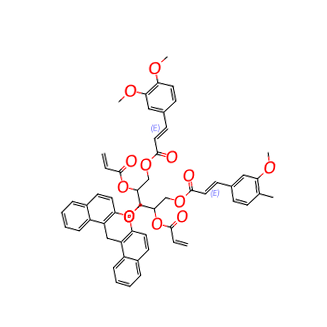 C=CC(=O)OC(COC(=O)/C=C/c1ccc(C)c(OC)c1)COc1ccc2ccccc2c1Cc1c(OCC(COC(=O)/C=C/c2ccc(OC)c(OC)c2)OC(=O)C=C)ccc2ccccc12